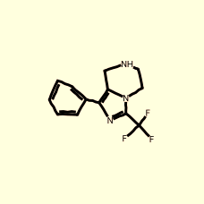 FC(F)(F)c1nc(-c2ccccc2)c2n1CCNC2